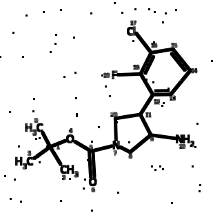 CC(C)(C)OC(=O)N1CC(N)C(c2cccc(Cl)c2F)C1